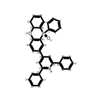 O=P1(c2ccccc2)C2=CC=CCC2Oc2ccc(-c3cc(-c4ccccc4)nc(-c4ccccc4)c3)cc21